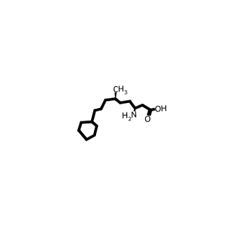 C[C@H](CCCC1CCCCC1)CC[C@H](N)CC(=O)O